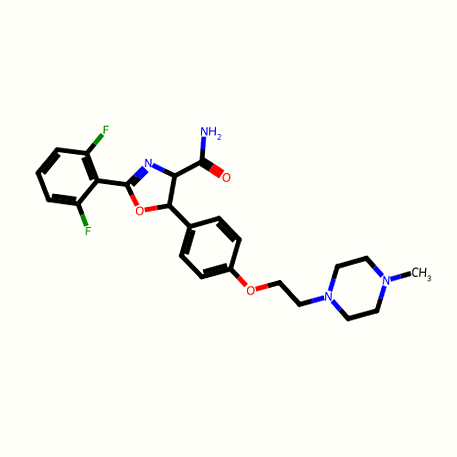 CN1CCN(CCOc2ccc(C3OC(c4c(F)cccc4F)=NC3C(N)=O)cc2)CC1